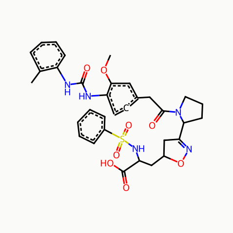 COc1cc(CC(=O)N2CCCC2C2=NOC(CC(NS(=O)(=O)c3ccccc3)C(=O)O)C2)ccc1NC(=O)Nc1ccccc1C